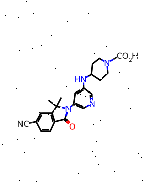 CC1(C)c2cc(C#N)ccc2C(=O)N1c1cncc(NC2CCN(C(=O)O)CC2)c1